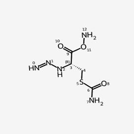 N=NN[C@@H](CSC(N)=O)C(=O)ON